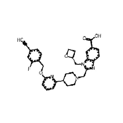 C#Cc1ccc(COc2cccc(C3CCN(Cc4nc5ccc(C(=O)O)cc5n4C[C@@H]4CCO4)CC3)n2)c(F)c1